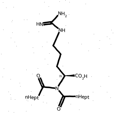 CCCCCCCC(=O)N(C(=O)CCCCCCC)[C@@H](CCCNC(=N)N)C(=O)O